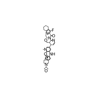 Cn1cc(C2C=CN=C(N3CCn4c5c(c(F)c4C3=O)CCCC5)C2C=O)cc(Nc2cc3n(n2)CCN(C2COC2)C3)c1=O